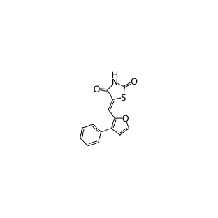 O=C1NC(=O)C(=Cc2occc2-c2ccccc2)S1